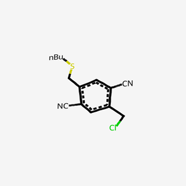 CCCCSCc1cc(C#N)c(CCl)cc1C#N